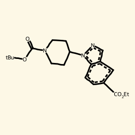 CCOC(=O)c1ccc2c(cnn2C2CCN(C(=O)OC(C)(C)C)CC2)c1